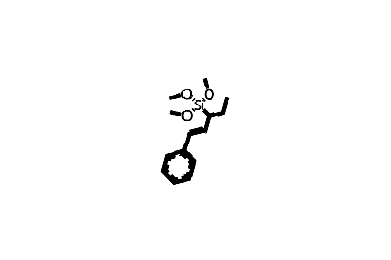 CCC(C=Cc1ccccc1)[Si](OC)(OC)OC